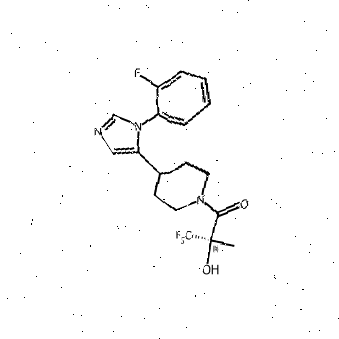 C[C@@](O)(C(=O)N1CCC(c2cncn2-c2ccccc2F)CC1)C(F)(F)F